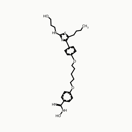 CCCCc1sc(NCCCO)nc1-c1ccc(OCCCCCOc2ccc(C(=N)NO)cc2)cc1